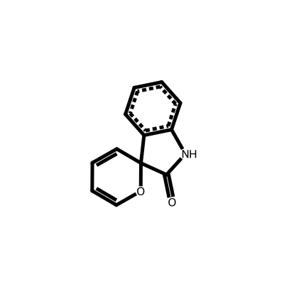 O=C1Nc2ccccc2C12C=CC=CO2